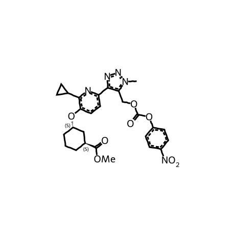 COC(=O)[C@H]1CCC[C@H](Oc2ccc(-c3nnn(C)c3COC(=O)Oc3ccc([N+](=O)[O-])cc3)nc2C2CC2)C1